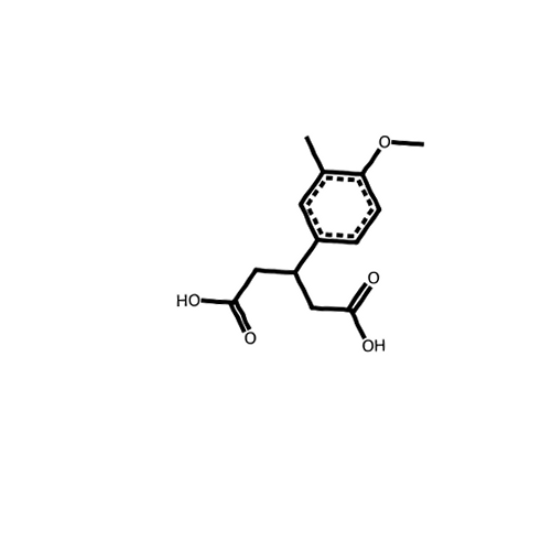 COc1ccc(C(CC(=O)O)CC(=O)O)cc1C